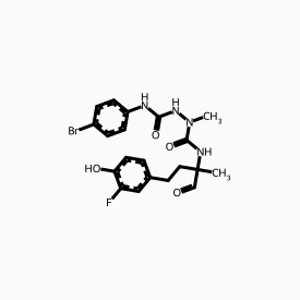 CN(NC(=O)Nc1ccc(Br)cc1)C(=O)NC(C)(C=O)CCc1ccc(O)c(F)c1